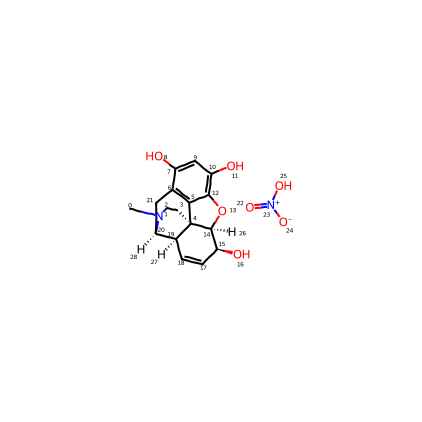 CN1CC[C@]23c4c5c(O)cc(O)c4O[C@H]2[C@@H](O)C=C[C@H]3[C@H]1C5.O=[N+]([O-])O